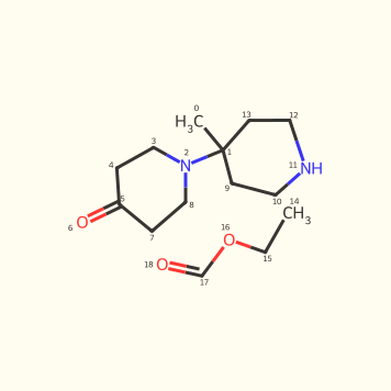 CC1(N2CCC(=O)CC2)CCNCC1.CCOC=O